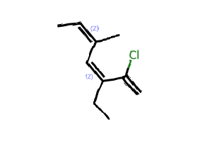 C=C(Cl)/C(=C\C(C)=C/C)CC